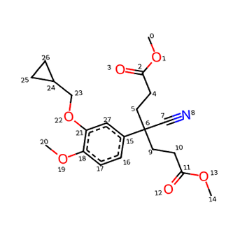 COC(=O)CCC(C#N)(CCC(=O)OC)c1ccc(OC)c(OCC2CC2)c1